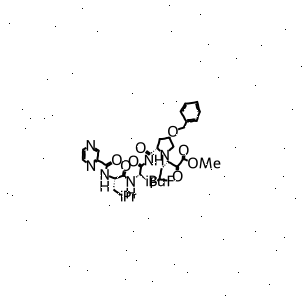 CC[C@H](C)[C@H](NC(=O)[C@H](CC(C)C)NC(=O)c1cnccn1)C(=O)NC(=O)[C@@H]1C[C@@H](OCc2ccccc2)CN1[C@@H](CC(F)F)C(=O)C(=O)OC